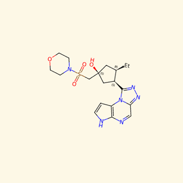 CC[C@@H]1C[C@@](O)(CS(=O)(=O)N2CCOCC2)C[C@@H]1c1nnc2cnc3[nH]ccc3n12